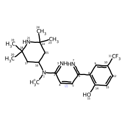 CN(C(=N)/C=C\C(=N)c1cc(C(F)(F)F)ccc1O)C1CC(C)(C)NC(C)(C)C1